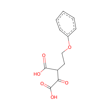 O=C(O)C(=O)C(CCOc1ccccc1)C(=O)O